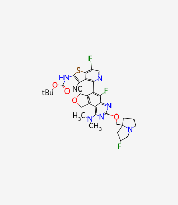 CN(C)c1nc(OC[C@@]23CCCN2C[C@H](F)C3)nc2c(F)c(-c3ncc(F)c4sc(NC(=O)OC(C)(C)C)c(C#N)c34)c3c(c12)COC3